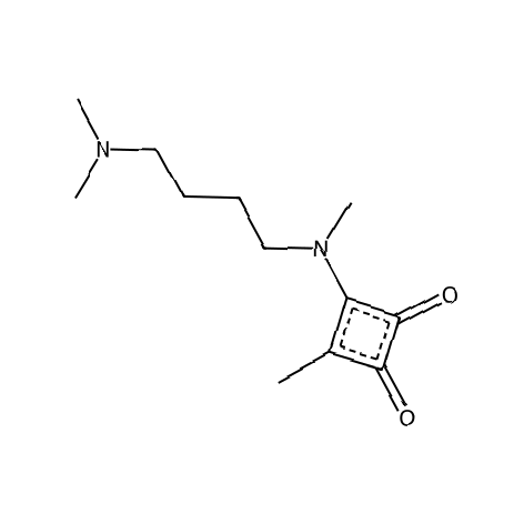 Cc1c(N(C)CCCCN(C)C)c(=O)c1=O